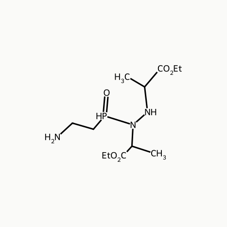 CCOC(=O)C(C)NN(C(C)C(=O)OCC)[PH](=O)CCN